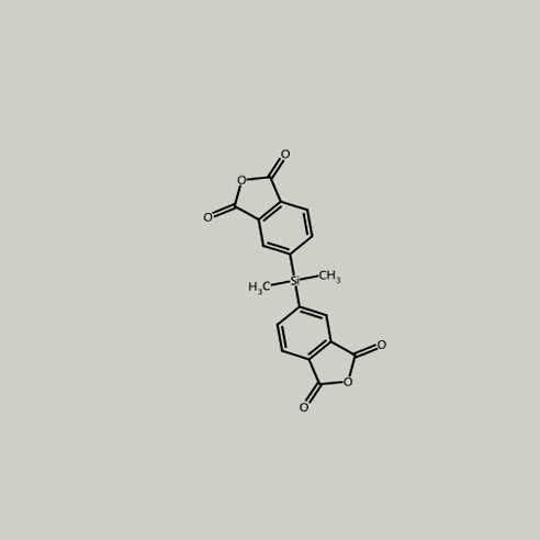 C[Si](C)(c1ccc2c(c1)C(=O)OC2=O)c1ccc2c(c1)C(=O)OC2=O